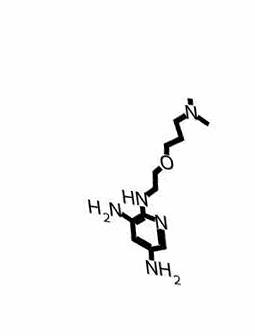 CN(C)CCCOCCNc1ncc(N)cc1N